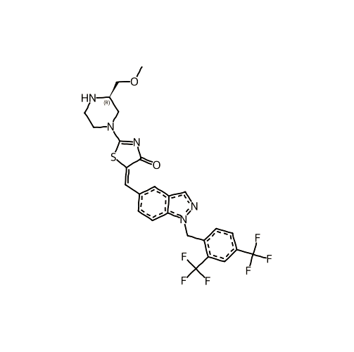 COC[C@H]1CN(C2=NC(=O)C(=Cc3ccc4c(cnn4Cc4ccc(C(F)(F)F)cc4C(F)(F)F)c3)S2)CCN1